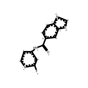 O=C(Nc1ccnc(F)c1)c1ccc2ncsc2c1